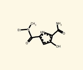 CCN(C)C(=O)c1cc(O)c(C(N)=O)[nH]1